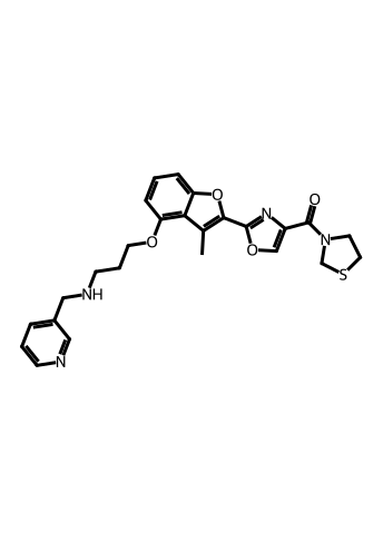 Cc1c(-c2nc(C(=O)N3CCSC3)co2)oc2cccc(OCCCNCc3cccnc3)c12